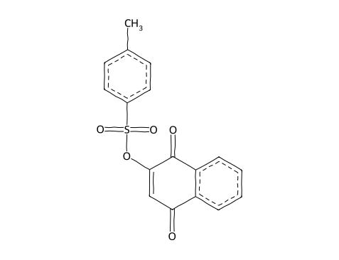 Cc1ccc(S(=O)(=O)OC2=CC(=O)c3ccccc3C2=O)cc1